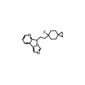 FC1(CCC2c3ncccc3-c3cncn32)CCC2(CC1)CC2